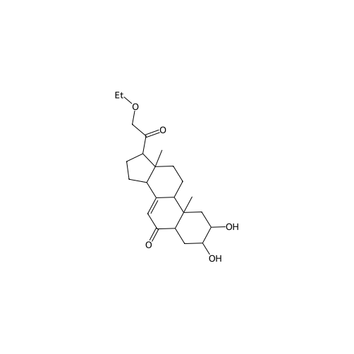 CCOCC(=O)C1CCC2C3=CC(=O)C4CC(O)C(O)CC4(C)C3CCC12C